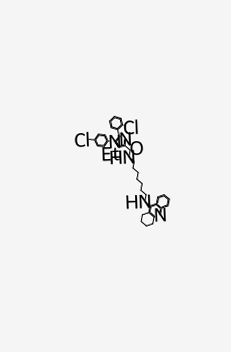 CCc1c(C(=O)NCCCCCCCNc2c3c(nc4ccccc24)CCCC3)nc(-c2ccccc2Cl)n1-c1ccc(Cl)cc1